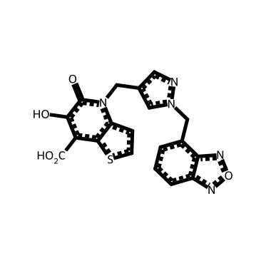 O=C(O)c1c(O)c(=O)n(Cc2cnn(Cc3cccc4nonc34)c2)c2ccsc12